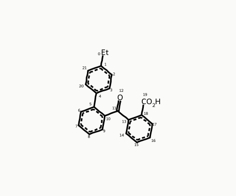 CCc1ccc(-c2ccccc2C(=O)c2ccccc2C(=O)O)cc1